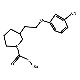 CC(C)(C)OC(=O)N1CCCC(CCOc2cccc(C#N)c2)C1